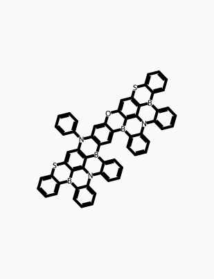 c1ccc(N2c3cc4c(cc3B3c5ccccc5N5c6ccccc6B6c7ccccc7Sc7cc2c3c5c76)B2c3ccccc3N3c5ccccc5B5c6ccccc6Sc6cc(c2c3c65)O4)cc1